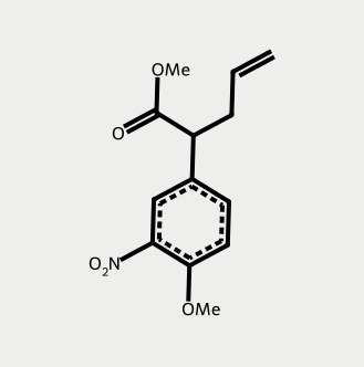 C=CCC(C(=O)OC)c1ccc(OC)c([N+](=O)[O-])c1